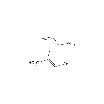 C=CCN.CCC=C(C)C(=O)O